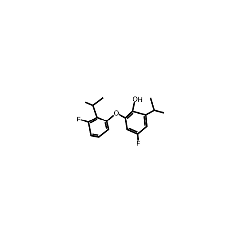 CC(C)c1cc(F)cc(Oc2cccc(F)c2C(C)C)c1O